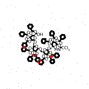 N=C(OC1O[C@H](CO[C@@H]2O[C@H](CO[C@@H]3O[C@H](CO[C@@H]4O[C@H](CO)[C@@H](OC(=O)c5ccccc5)[C@H](OC(=O)c5ccccc5)[C@H]4OC(=O)c4ccccc4)[C@@H](OC(=O)c4ccccc4)[C@H](OC(=O)c4ccccc4)[C@H]3OC(=O)c3ccccc3)[C@@H](OC(=O)c3ccccc3)[C@H](OC(=O)c3ccccc3)[C@H]2OC(=O)c2ccccc2)[C@@H](OC(=O)c2ccccc2)[C@H](OC(=O)c2ccccc2)[C@H]1OC(=O)c1ccccc1)C(Cl)(Cl)Cl